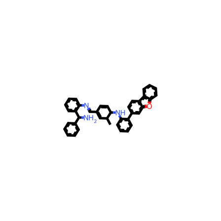 CC1C=C(/C=N/c2ccccc2C(N)c2ccccc2)C=CC1Nc1ccccc1-c1ccc2c(c1)oc1ccccc12